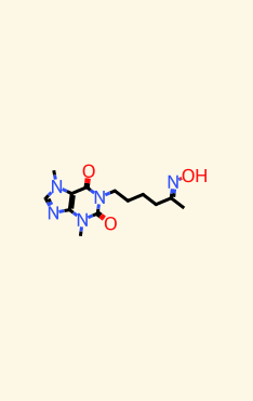 CC(CCCCn1c(=O)c2c(ncn2C)n(C)c1=O)=NO